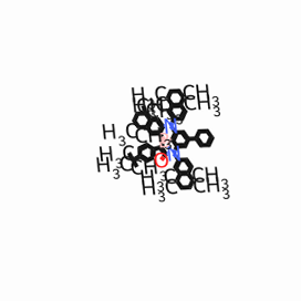 CC(C)(C)c1ccc2c3c(oc2c1)N(c1ccc2c(c1)C(C)(C)CCC2(C)C)c1cc(C2=CC=CCC2)cc2c1B3c1cc3c(cc1N2c1ccc2c(c1)C(C)(C)CCC2(C)C)C(C)(C)CCC3(C)C